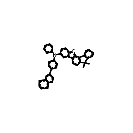 CC1(C)c2ccccc2-c2c1ccc1c2oc2ccc(N(c3ccccc3)c3ccc(-c4ccc5ccccc5c4)cc3)cc21